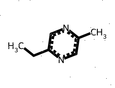 CCc1cnc(C)cn1